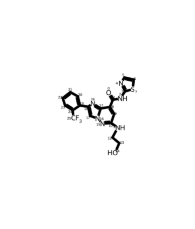 O=C(Nc1nccs1)c1cc(NCCO)nn2cc(-c3ccccc3C(F)(F)F)nc12